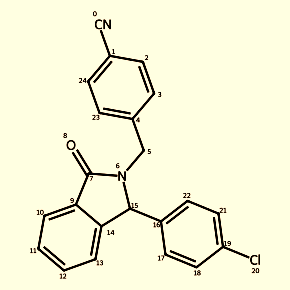 N#Cc1ccc(CN2C(=O)c3ccccc3C2c2ccc(Cl)cc2)cc1